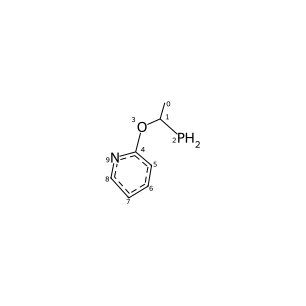 CC(P)Oc1ccccn1